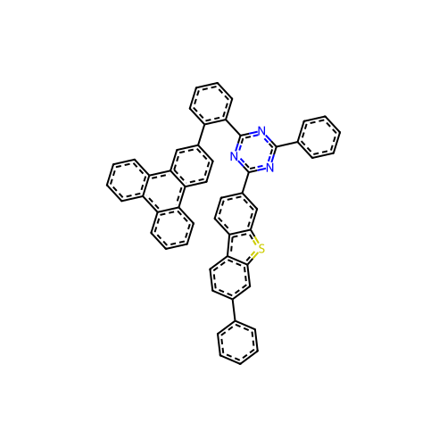 c1ccc(-c2ccc3c(c2)sc2cc(-c4nc(-c5ccccc5)nc(-c5ccccc5-c5ccc6c7ccccc7c7ccccc7c6c5)n4)ccc23)cc1